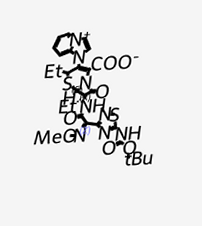 CCC1S[C@@H]2N(C(=O)[C@@]2(CC)NC(=O)/C(=N\OC)c2nsc(NC(=O)OC(C)(C)C)n2)C(C(=O)[O-])=C1n1cc[n+]2ccccc12